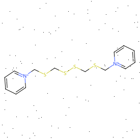 c1cc[n+](CSCSSCSC[n+]2ccccc2)cc1